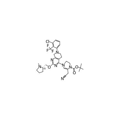 CN1CCC[C@H]1COc1nc2c(c(N3C=C(CC#N)N(C(=O)OC(C)(C)C)CC3)n1)CCN(c1cccc(Cl)c1C(F)(F)F)C2